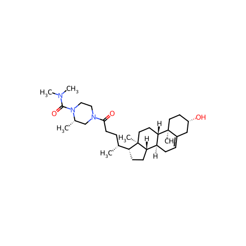 C[C@H](CCC(=O)N1CCN(C(=O)N(C)C)[C@@H](C)C1)[C@H]1CC[C@H]2[C@@H]3CC=C4C[C@@H](O)CC[C@]4(C)[C@H]3CC[C@]12C